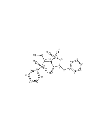 O=C1C(Cc2ccccc2)CS(=O)(=O)N1C(CF)S(=O)(=O)c1ccccc1